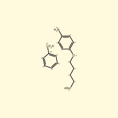 CCCCCCCCCCCCCCOc1ccc(N)cc1.O=C(O)c1ccccc1